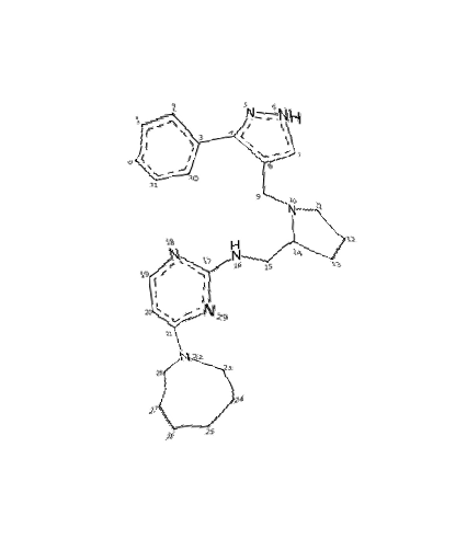 c1ccc(-c2n[nH]cc2CN2CCCC2CNc2nccc(N3CCCCCC3)n2)cc1